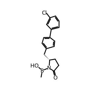 CB(O)N1C(=O)CC[C@H]1Cc1ccc(-c2cccc(Cl)c2)cc1